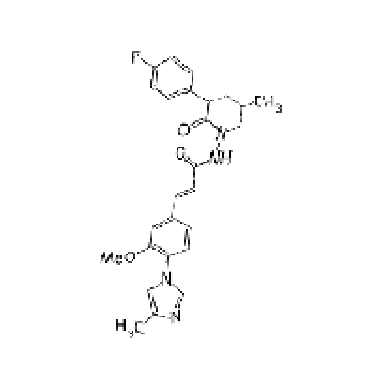 COc1cc(C=CC(=O)NN2CC(C)CC(c3ccc(F)cc3)C2=O)ccc1-n1cnc(C)c1